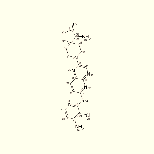 C[C@@H]1OCC2(CCN(c3cnc4nc(Sc5ncnc(N)c5Cl)ccc4n3)CC2)[C@@H]1N